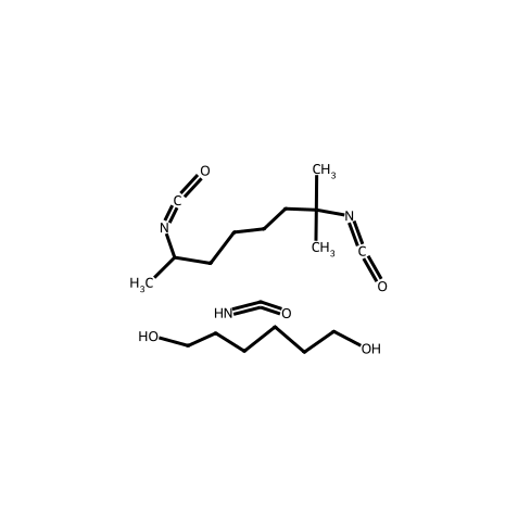 CC(CCCCC(C)(C)N=C=O)N=C=O.N=C=O.OCCCCCCO